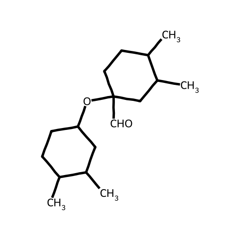 CC1CCC(OC2(C=O)CCC(C)C(C)C2)CC1C